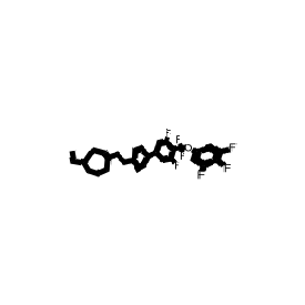 CCC1CCCC(CCc2ccc(-c3cc(F)c(C(F)(F)Oc4cc(F)c(F)c(F)c4)c(F)c3)cc2)CC1